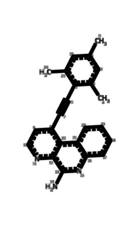 Cc1cc(C)c(C#Cc2ccnc3c(N)nc4ccccc4c23)c(C)c1